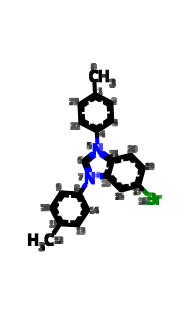 Cc1ccc(-n2c[n+](-c3ccc(C)cc3)c3cc(Br)ccc32)cc1